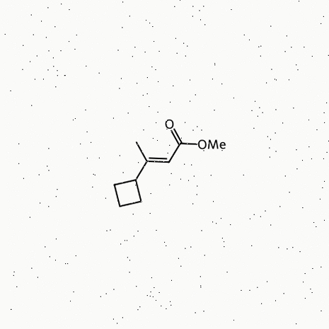 COC(=O)/C=C(\C)C1CCC1